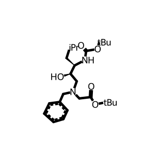 CC(C)C[C@@H](NC(=O)OC(C)(C)C)[C@H](O)CN(CC(=O)OC(C)(C)C)Cc1ccccc1